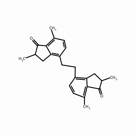 Cc1ccc(CCc2ccc(C)c3c2CC(C)C3=O)c2c1C(=O)C(C)C2